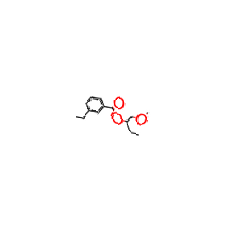 CCc1cccc(C(=O)OC(CC)COC)c1